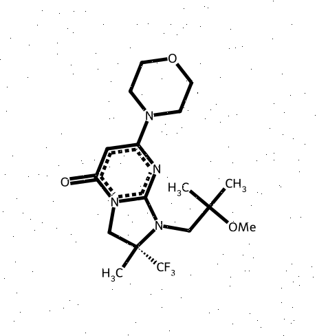 COC(C)(C)CN1c2nc(N3CCOCC3)cc(=O)n2C[C@@]1(C)C(F)(F)F